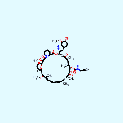 C#CCNC(=O)O[C@@H]1/C(C)=C/[C@@H](C)C(=O)C[C@@H]([C@H](N)C[C@@H]2CC[C@@H](O)[C@H](OC)C2)OC(=O)[C@@H]2CCCCN2C(=O)C(=O)[C@]2(O)O[C@@H](CC[C@H]2C)C[C@H](OC)/C(C)=C/C=C/C=C/[C@@H](C)C[C@@H](C)C(=O)[C@@H]1O